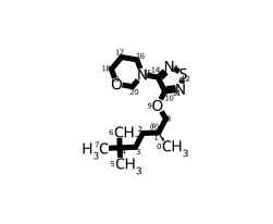 C[C@H](CCC(C)(C)C)COc1nsnc1N1CCCOC1